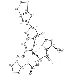 COc1ccc2c(O[C@@H]3C[C@@H](C(=O)O)N(C(=O)[C@@H](NC(=O)OC4CCCC4)C(C)C)C3)cc(-c3nc4c(s3)CCC4)nc2c1